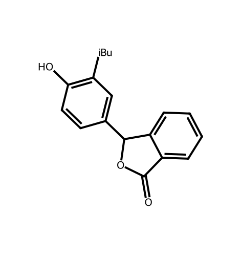 CCC(C)c1cc(C2OC(=O)c3ccccc32)ccc1O